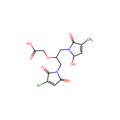 CC1=CC(O)N(CC(CN2C(=O)C=C(Br)C2=O)OCC(=O)O)C1=O